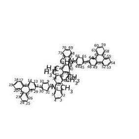 Cc1ccccc1N(c1ccc(-c2ccc3c4ccccc4c4ccccc4c3c2)cc1)c1cc(C)c(-c2c(C)cc(N(c3ccc(-c4ccc5c6ccccc6c6ccccc6c5c4)cc3)c3ccccc3C)cc2C)c(C)c1